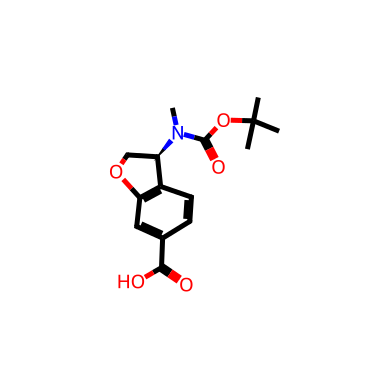 CN(C(=O)OC(C)(C)C)[C@@H]1COc2cc(C(=O)O)ccc21